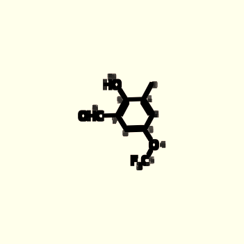 Cc1cc(OC(F)(F)F)cc(C=O)c1O